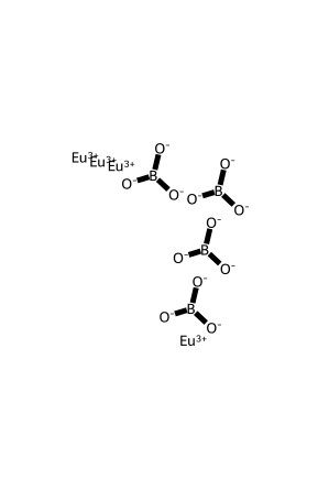 [Eu+3].[Eu+3].[Eu+3].[Eu+3].[O-]B([O-])[O-].[O-]B([O-])[O-].[O-]B([O-])[O-].[O-]B([O-])[O-]